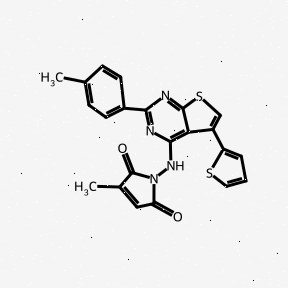 CC1=CC(=O)N(Nc2nc(-c3ccc(C)cc3)nc3scc(-c4cccs4)c23)C1=O